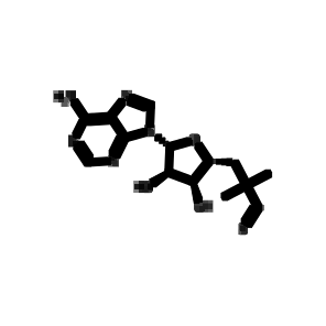 CC(C)([C]=S)C[C@H]1O[C@@H](n2cnc3c(N)ncnc32)[C@H](O)[C@@H]1O